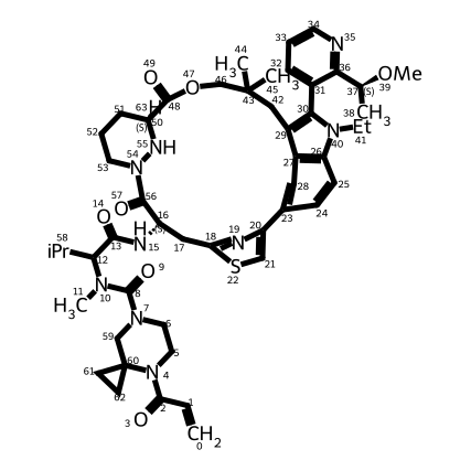 C=CC(=O)N1CCN(C(=O)N(C)C(C(=O)N[C@H]2Cc3nc(cs3)-c3ccc4c(c3)c(c(-c3cccnc3[C@H](C)OC)n4CC)CC(C)(C)COC(=O)[C@@H]3CCCN(N3)C2=O)C(C)C)CC12CC2